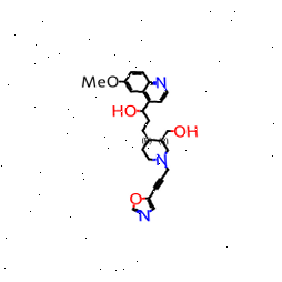 COc1ccc2nccc(C(O)CC[C@@H]3CCN(CC#Cc4cnco4)C[C@@H]3CO)c2c1